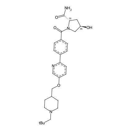 CC(C)(C)CN1CCC(COc2ccc(-c3ccc(C(=O)N4C[C@H](O)C[C@H]4C(N)=O)cc3)nc2)CC1